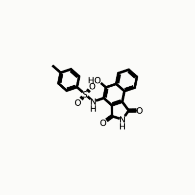 Cc1ccc(S(=O)(=O)Nc2c3c(c4ccccc4c2O)C(=O)NC3=O)cc1